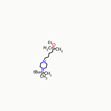 CCO[Si](C)(C)CCCCN1CCN([Si](C)(C)C(C)(C)C)CC1